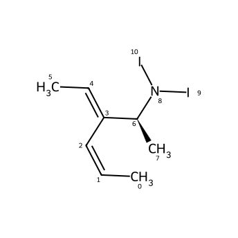 C/C=C\C(=C/C)[C@H](C)N(I)I